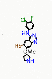 C1CCNC1.COc1cc2ncnc(Nc3ccc(F)c(Cl)c3)c2cc1S